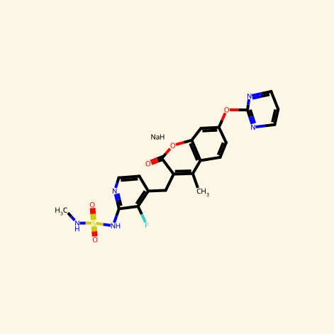 CNS(=O)(=O)Nc1nccc(Cc2c(C)c3ccc(Oc4ncccn4)cc3oc2=O)c1F.[NaH]